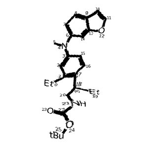 CCc1cc(N(C)c2ccc3ccoc3c2)ccc1[C@@H](CC)CNC(=O)OC(C)(C)C